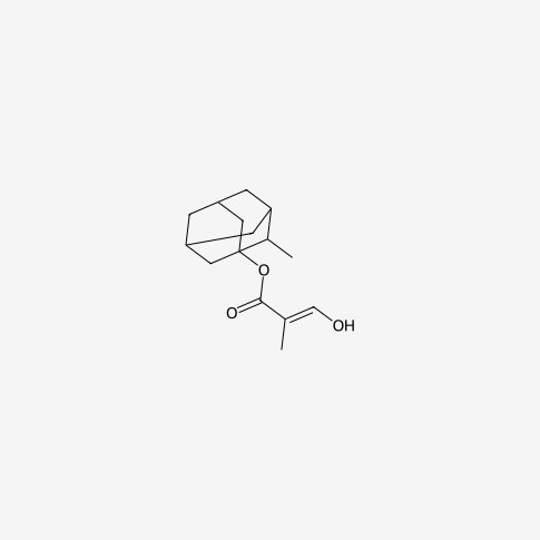 CC(=CO)C(=O)OC12CC3CC(CC(C3)C1C)C2